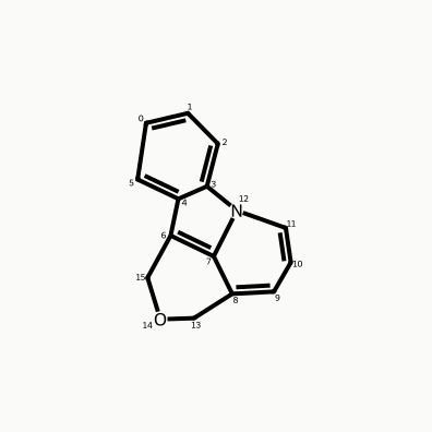 c1ccc2c(c1)c1c3c(cccn32)COC1